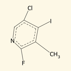 Cc1c(F)ncc(Cl)c1I